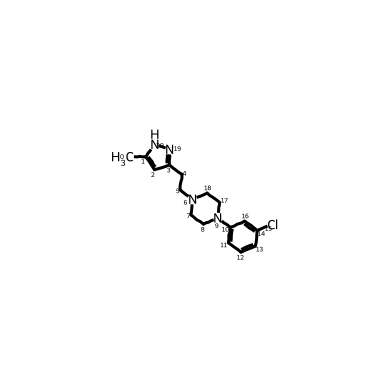 Cc1cc(CCN2CCN(c3cccc(Cl)c3)CC2)n[nH]1